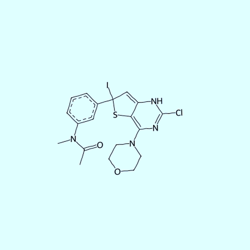 CC(=O)N(C)c1cccc(C2(I)C=C3NC(Cl)=NC(N4CCOCC4)=C3S2)c1